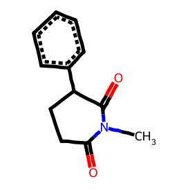 CN1C(=O)CCC(c2ccccc2)C1=O